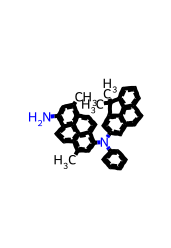 Cc1cc(N)c2ccc3c(C)cc(N(c4ccccc4)c4cc5c6c(ccc7cccc(c76)C5(C)C)c4)c4ccc1c2c34